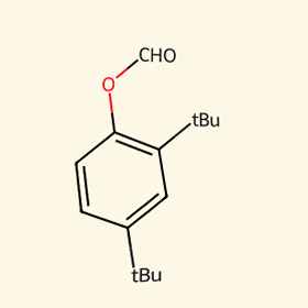 CC(C)(C)c1ccc(OC=O)c(C(C)(C)C)c1